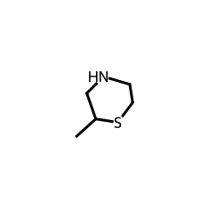 CC1CNCCS1